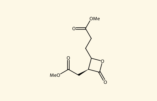 COC(=O)CCC1OC(=O)[C@H]1CC(=O)OC